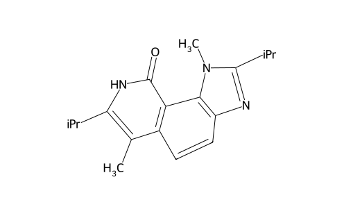 Cc1c(C(C)C)[nH]c(=O)c2c1ccc1nc(C(C)C)n(C)c12